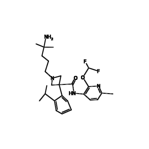 Cc1ccc(NC(=O)C2(c3ccccc3C(C)C)CN(CCCC(C)(C)N)C2)c(OC(F)F)n1